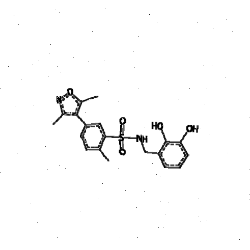 Cc1ccc(-c2c(C)noc2C)cc1S(=O)(=O)NCc1cccc(O)c1O